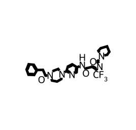 O=C(Nc1ccc(N2CCCN(C(=O)Cc3ccccc3)CC2)nc1)c1oc(N2CCCCC2)nc1C(F)(F)F